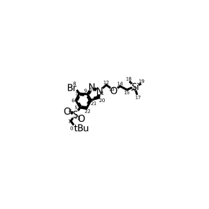 CC(C)(C)CS(=O)(=O)c1cc(Br)c2nn(COCC[Si](C)(C)C)cc2c1